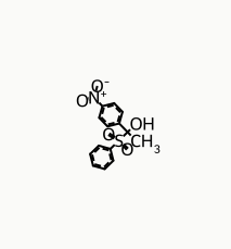 CC(O)(c1ccc([N+](=O)[O-])cc1)S(=O)(=O)c1ccccc1